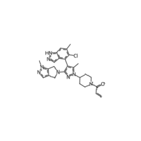 C=CC(=O)N1CCC(n2nc(N3Cc4cnn(C)c4C3)c(-c3c(Cl)c(C)cc4[nH]ncc34)c2C)CC1